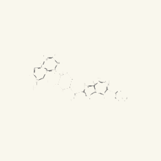 CNC(=O)c1cc2[nH]c(C(C)C3CCC(c4ccnc5ccc(F)cc45)CC3)nc2cn1